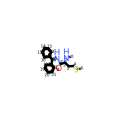 CNC(CCSC)C(=O)NC(c1ccccc1)c1ccccc1